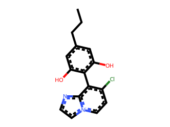 CCCc1cc(O)c(-c2c(Cl)ccn3ccnc23)c(O)c1